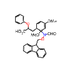 COC1=CC(OC)(N(C=O)OCC2c3ccccc3-c3ccccc32)C(CC(Oc2ccccc2)C(=O)O)C=C1